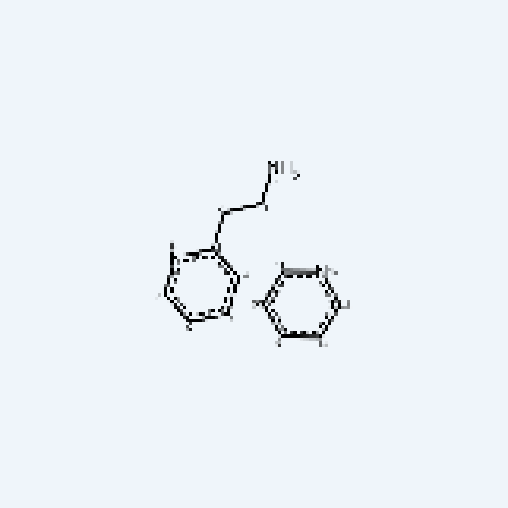 NCCc1ccccn1.c1ccncc1